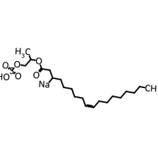 CCCCCCCC/C=C\CCCCC[CH]([Na])CC(=O)OC(C)COS(=O)(=O)O